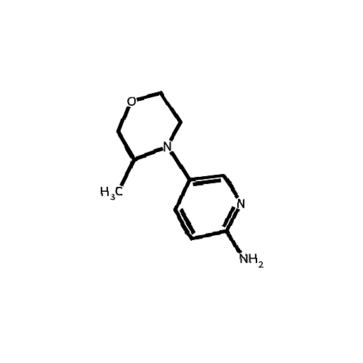 CC1COCCN1c1ccc(N)nc1